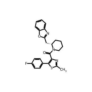 Cc1nc(C(=O)N2CCCC[C@H]2Cc2nc3ccccc3o2)c(-c2ccc(F)cc2)s1